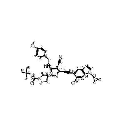 COc1ccc(CNc2c(C#N)c(C#Cc3cc4ncn(C5CC5)c4cc3Cl)nn2[C@H]2CCN(C(=O)OC(C)(C)C)C2)cc1